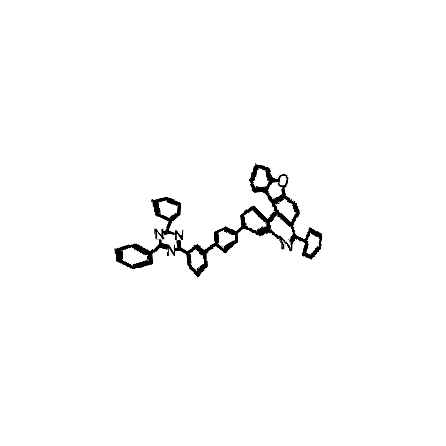 c1ccc(-c2nc(-c3ccccc3)nc(-c3cccc(-c4ccc(-c5ccc6c(c5)nc(-c5ccccc5)c5ccc7oc8ccccc8c7c56)cc4)c3)n2)cc1